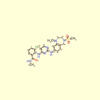 CNC(=O)c1ccccc1Nc1nc(Nc2ccc3c(c2)N(C)CCN(S(C)(=O)=O)C3)ncc1Cl